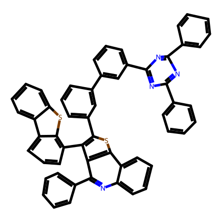 c1ccc(-c2nc(-c3ccccc3)nc(-c3cccc(-c4cccc(-c5sc6c(c(-c7ccccc7)nc7ccccc76)c5-c5cccc6c5sc5ccccc56)c4)c3)n2)cc1